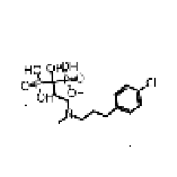 CN(CCCc1ccc(Cl)cc1)CCC(O)(P(=O)(O)O)P(=O)(O)O